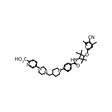 Cc1cc(OC2C(C)(C)C(NC(=O)c3ccc(N4CCC(CN5CCN(c6ccc(C(=O)O)nc6)CC5)CC4)cc3)C2(C)C)cc(C)c1C#N